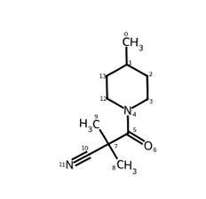 CC1CCN(C(=O)C(C)(C)C#N)CC1